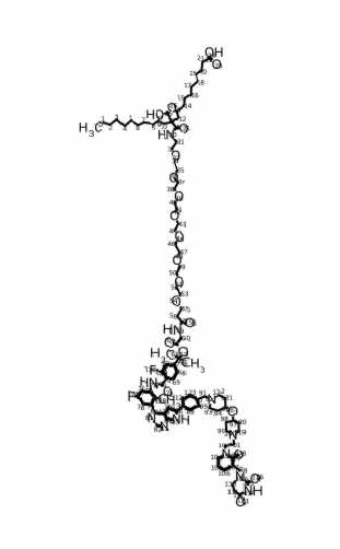 CCCCCCCCCCCC(CCCCCCCCCCC(=O)O)(C(=O)O)C(=O)NCCOCCOCCOCCOCCOCCOCCOCCOCCC(=O)NCC(=O)OC(C)(C)c1ccc(C(=O)Nc2cc(F)cc(-c3ncnc4[nH]c(-c5ccc(CN6CCC(OC7CCN(CCn8cccc(CN9CCC(=O)NC9=O)c8=O)CC7)CC6)cc5)cc34)c2C)c(F)c1